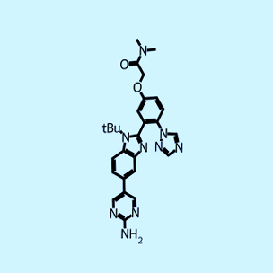 CN(C)C(=O)COc1ccc(-n2cncn2)c(-c2nc3cc(-c4cnc(N)nc4)ccc3n2C(C)(C)C)c1